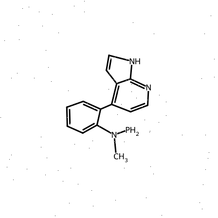 CN(P)c1ccccc1-c1ccnc2[nH]ccc12